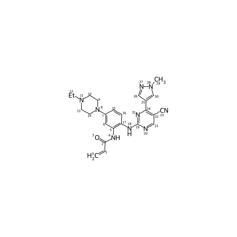 C=CC(=O)Nc1cc(N2CCN(CC)CC2)ccc1Nc1ncc(C#N)c(-c2cnn(C)c2)n1